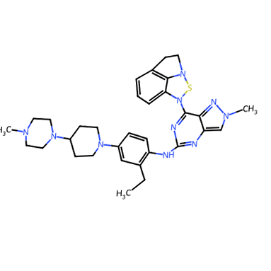 CCc1cc(N2CCC(N3CCN(C)CC3)CC2)ccc1Nc1nc(N2SN3CCc4cccc2c43)c2nn(C)cc2n1